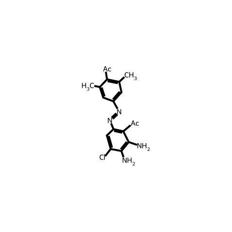 CC(=O)c1c(C)cc(N=Nc2cc(Cl)c(N)c(N)c2C(C)=O)cc1C